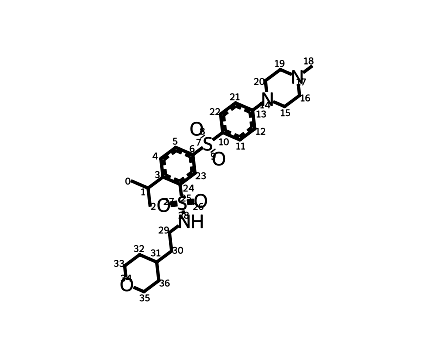 CC(C)c1ccc(S(=O)(=O)c2ccc(N3CCN(C)CC3)cc2)cc1S(=O)(=O)NCCC1CCOCC1